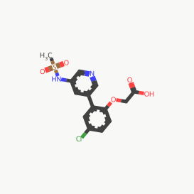 CS(=O)(=O)Nc1cncc(-c2cc(Cl)ccc2OCC(=O)O)c1